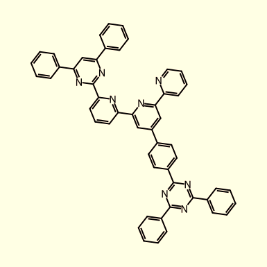 c1ccc(-c2cc(-c3ccccc3)nc(-c3cccc(-c4cc(-c5ccc(-c6nc(-c7ccccc7)nc(-c7ccccc7)n6)cc5)cc(-c5ccccn5)n4)n3)n2)cc1